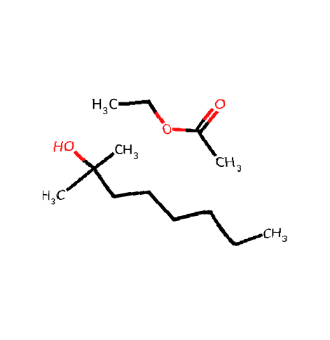 CCCCCCC(C)(C)O.CCOC(C)=O